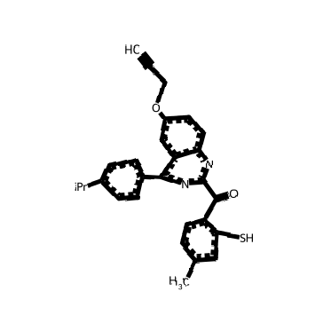 C#CCOc1ccc2nc(C(=O)c3ccc(C)cc3S)nc(-c3ccc(C(C)C)cc3)c2c1